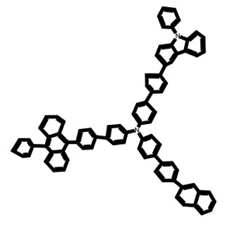 c1ccc(-c2c3ccccc3c(-c3ccc(-c4ccc(N(c5ccc(-c6ccc(-c7ccc8ccccc8c7)cc6)cc5)c5ccc(-c6ccc(-c7ccc8c(c7)c7ccccc7n8-c7ccccc7)cc6)cc5)cc4)cc3)c3ccccc23)cc1